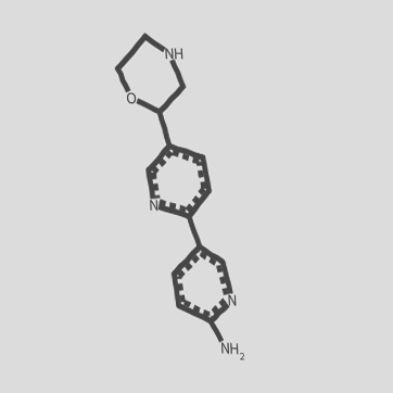 Nc1ccc(-c2ccc(C3CNCCO3)cn2)cn1